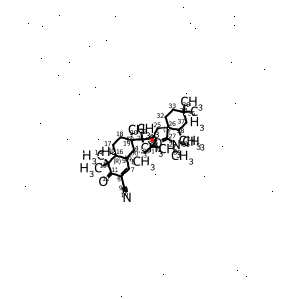 CC(=O)C[C@@H]1[C@@]2(C)C=C(C#N)C(=O)C(C)(C)[C@@H]2CC[C@@]1(C)C(C)(C)CC[C@@]1(C(=O)N(C)C)CCC(C)(C)CC1C